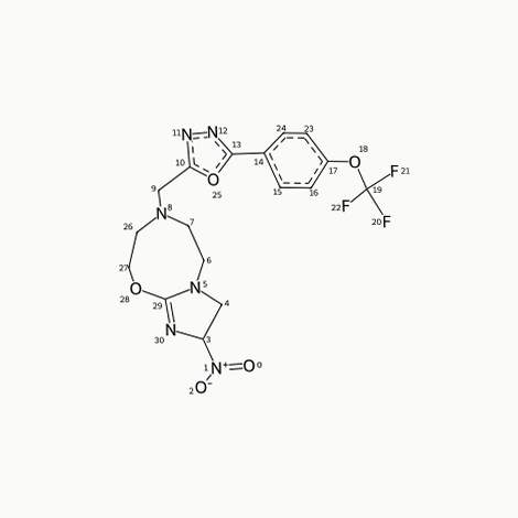 O=[N+]([O-])C1CN2CCN(Cc3nnc(-c4ccc(OC(F)(F)F)cc4)o3)CCOC2=N1